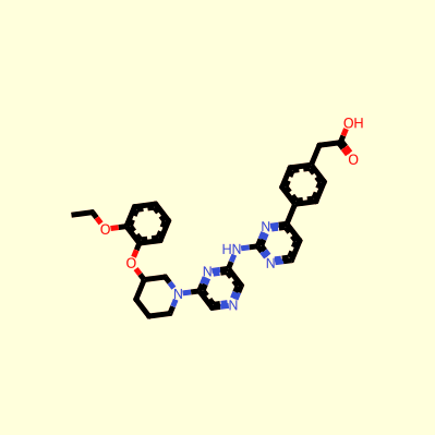 CCOc1ccccc1OC1CCCN(c2cncc(Nc3nccc(-c4ccc(CC(=O)O)cc4)n3)n2)C1